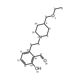 CCOCC1CCN(CCc2cccc(O)c2C=O)CC1